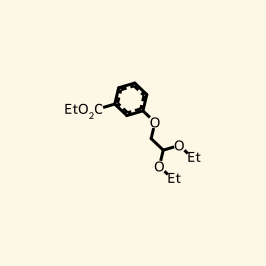 CCOC(=O)c1cccc(OCC(OCC)OCC)c1